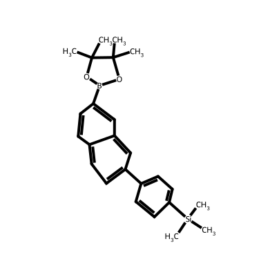 CC1(C)OB(c2ccc3ccc(-c4ccc([Si](C)(C)C)cc4)cc3c2)OC1(C)C